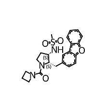 CS(=O)(=O)N[C@H]1CCN(C(=O)N2CCC2)[C@H]1Cc1ccc2oc3ccccc3c2c1